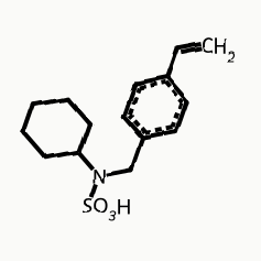 C=Cc1ccc(CN(C2CCCCC2)S(=O)(=O)O)cc1